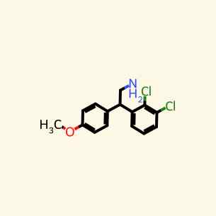 COc1ccc(C(CN)c2cccc(Cl)c2Cl)cc1